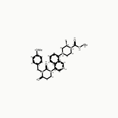 COc1ccc(CN2C(=O)CCN(c3cncc4c(N5CCN(C(=O)OC(C)(C)C)[C@H](C)C5)cccc34)C2=O)cc1